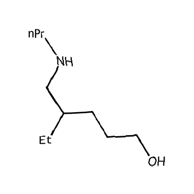 CCCNCC(CC)CCCO